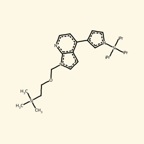 CC(C)[Si](C(C)C)(C(C)C)n1ccc(-c2ccnc3c2ccn3COCC[Si](C)(C)C)c1